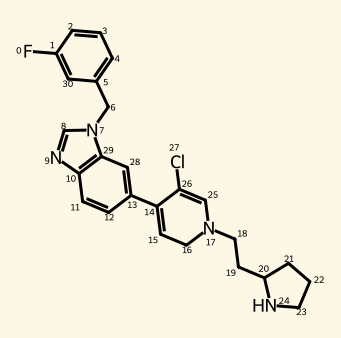 Fc1cccc(Cn2cnc3ccc(C4=CCN(CCC5CCCN5)C=C4Cl)cc32)c1